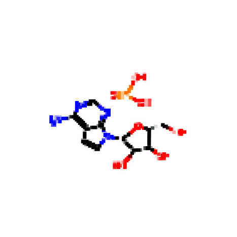 Nc1ncnc2c1ccn2[C@@H]1O[C@H](CO)[C@@H](O)[C@H]1O.O=[PH](O)O